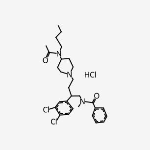 CCCCN(C(C)=O)C1CCN(CCC(CN(C)C(=O)c2ccccc2)c2ccc(Cl)c(Cl)c2)CC1.Cl